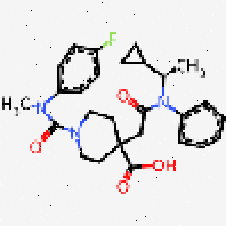 C[C@H](C1CC1)N(C(=O)CC1(C(=O)O)CCN(C(=O)N(C)c2ccc(F)cc2)CC1)c1ccccc1